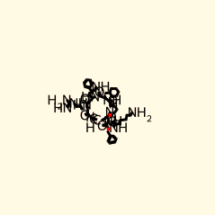 N=C(N)NCCC[C@@H]1NC(=O)C(Cc2c[nH]c3ccccc23)NC(=O)[C@@H](CC2CCCCC2)NC(=O)[C@@H]2CCCN2C(=O)[C@@H](NC(=O)[C@H](Cc2ccccc2)NC(=O)CCCCCN)CCCNC1=O